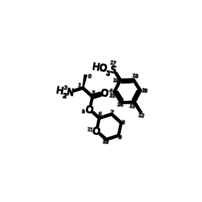 C[C@H](N)C(=O)OC1CCCCO1.Cc1ccc(S(=O)(=O)O)cc1